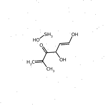 C=C(C)C(=O)C(O)C=CO.O[SiH3]